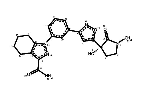 CN1CC[C@@](O)(c2cc(-c3cccc(-n4nc(C(N)=O)c5c4CCCC5)c3)no2)C1=O